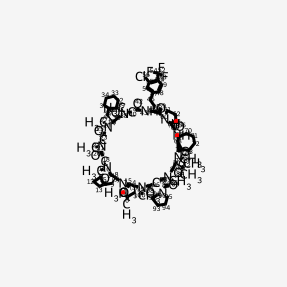 CC(C)C[C@H]1C(=O)N[C@@H](CC2CCC2)C(=O)N(C)CC(=O)N(C)CC(=O)N(C)[C@@H](CC2CCCCC2)C(=O)N(C)CC(=O)N[C@@H](CCc2ccc(C(F)(F)F)c(Cl)c2)C(=O)N2CCC[C@H]2C(=O)NC2(CCCCCC2)C(=O)N(C)[C@@H](C(C)C)C(=O)N(C)[C@H](C(=O)N2CCCCC2)CC(=O)N1C